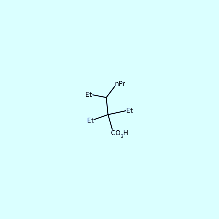 CCCC(CC)C(CC)(CC)C(=O)O